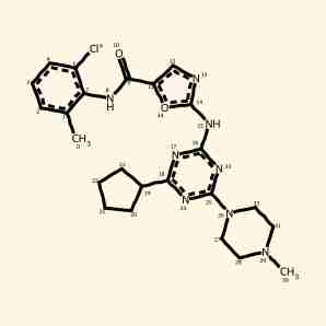 Cc1cccc(Cl)c1NC(=O)c1cnc(Nc2nc(C3CCCC3)nc(N3CCN(C)CC3)n2)o1